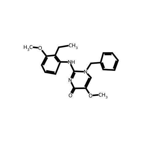 CCc1c(Nc2nc(=O)c(OC)cn2Cc2ccccc2)cccc1OC